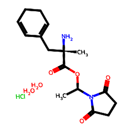 CC(OC(=O)[C@@](C)(N)CC1=CCCC=C1)N1C(=O)CCC1=O.Cl.O.O